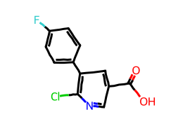 O=C(O)c1cnc(Cl)c(-c2ccc(F)cc2)c1